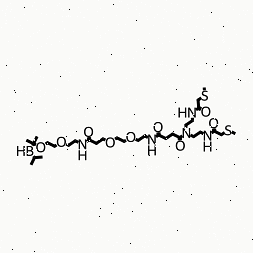 CSCC(=O)NCCN(CCNC(=O)CSC)C(=O)CCC(=O)NCCOCCOCCC(=O)NCCOCCOC(C)(C)BC(C)C